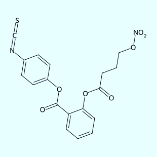 O=C(CCCO[N+](=O)[O-])Oc1ccccc1C(=O)Oc1ccc(N=C=S)cc1